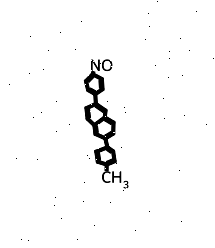 Cc1ccc(-c2ccc3cc(-c4ccc(N=O)cc4)ccc3c2)cc1